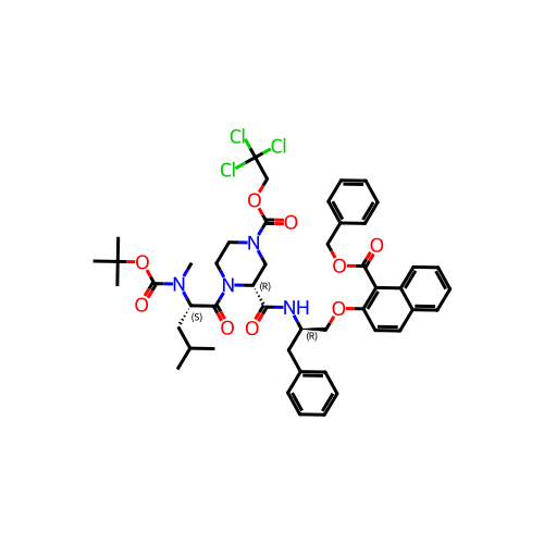 CC(C)C[C@@H](C(=O)N1CCN(C(=O)OCC(Cl)(Cl)Cl)C[C@@H]1C(=O)N[C@@H](COc1ccc2ccccc2c1C(=O)OCc1ccccc1)Cc1ccccc1)N(C)C(=O)OC(C)(C)C